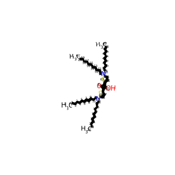 CCCCCCCCCCCCN(CCCCCCCCCCCC)c1ccc(C2=C(O)/C(=C3\C=CC(=[N+](CCCCCCCCCCCC)CCCCCCCCCCCC)S3)C2=O)s1